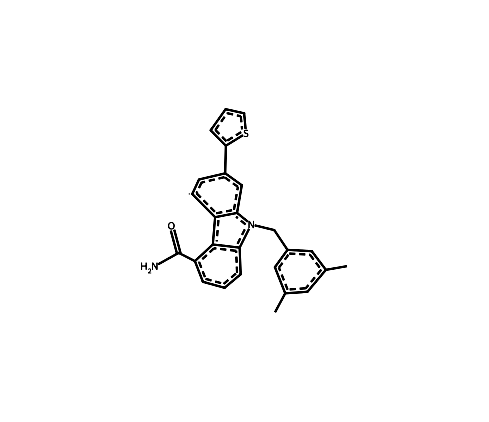 Cc1cc(C)cc(Cn2c3cc(-c4cccs4)c[c]c3c3c(C(N)=O)cccc32)c1